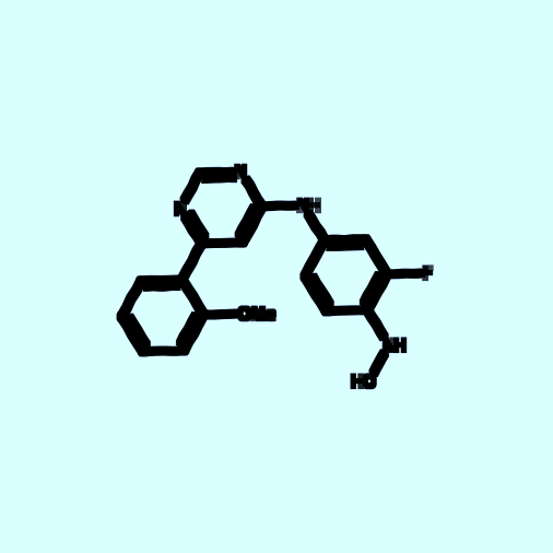 COc1ccccc1-c1cc(Nc2ccc(NO)c(F)c2)ncn1